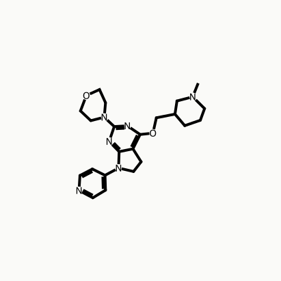 CN1CCCC(COc2nc(N3CCOCC3)nc3c2CCN3c2ccncc2)C1